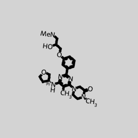 CNCC(O)COc1cccc(-c2nc(N[C@@H]3CCOC3)c(C)c(N3CCN(C)C(=O)C3)n2)c1